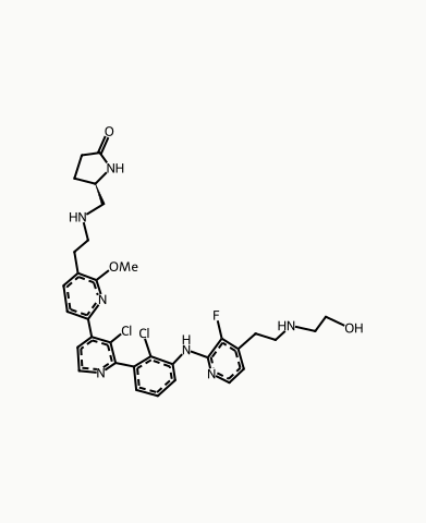 COc1nc(-c2ccnc(-c3cccc(Nc4nccc(CCNCCO)c4F)c3Cl)c2Cl)ccc1CCNC[C@H]1CCC(=O)N1